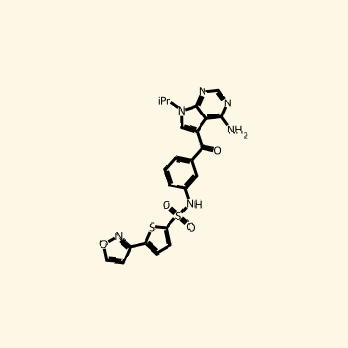 CC(C)n1cc(C(=O)c2cccc(NS(=O)(=O)c3ccc(-c4ccon4)s3)c2)c2c(N)ncnc21